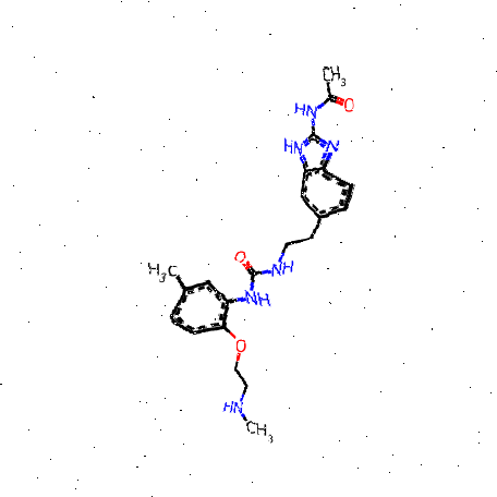 CNCCOc1ccc(C)cc1NC(=O)NCCc1ccc2nc(NC(C)=O)[nH]c2c1